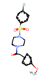 COc1ccc(C(=O)N2CCN(S(=O)(=O)c3ccc(Cl)cc3)CC2)cc1